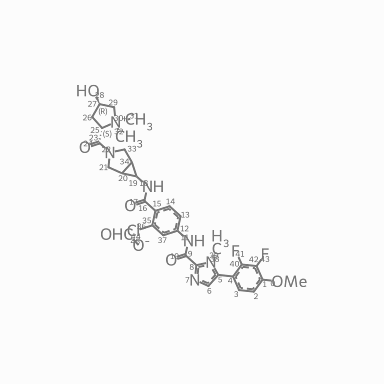 COc1ccc(-c2cnc(C(=O)Nc3ccc(C(=O)NC4C5CN(C(=O)[C@@H]6C[C@@H](O)C[N+]6(C)C)CC54)c(Cl)c3)n2C)c(F)c1F.O=C[O-]